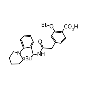 CCCC[C@H](NC(=O)Cc1ccc(C(=O)O)c(OCC)c1)c1ccccc1N1CCCCC1